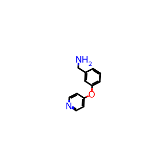 NCc1cccc(Oc2ccncc2)c1